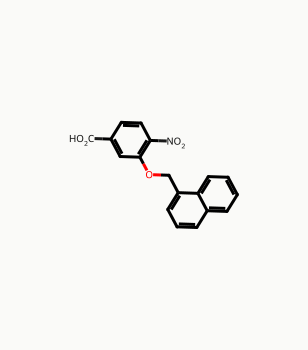 O=C(O)c1ccc([N+](=O)[O-])c(OCc2cccc3ccccc23)c1